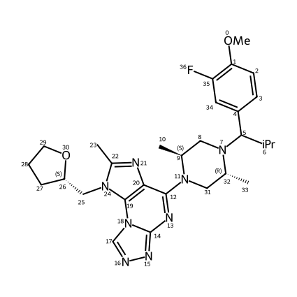 COc1ccc(C(C(C)C)N2C[C@H](C)N(c3nc4nncn4c4c3nc(C)n4C[C@@H]3CCCO3)C[C@H]2C)cc1F